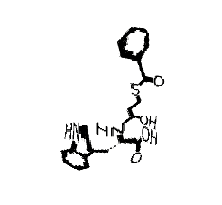 O=C(SCCC(O)N[C@@H](Cc1c[nH]c2ccccc12)C(=O)O)c1ccccc1